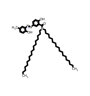 CCCCCCCCCCCCCCCCCCN(CCCCCCCCCCCCCCCCCC)C(=O)c1cc(/N=N/c2cc(C)ccc2O)ccc1O